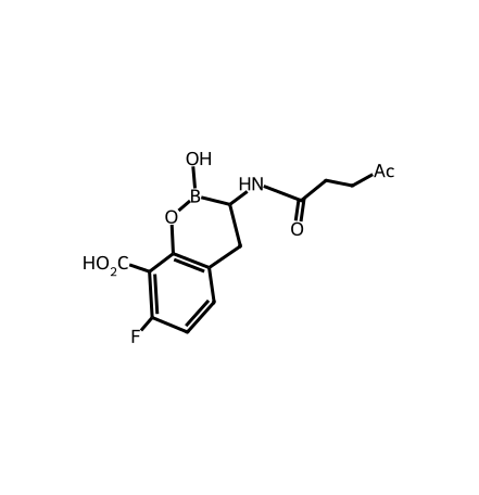 CC(=O)CCC(=O)NC1Cc2ccc(F)c(C(=O)O)c2OB1O